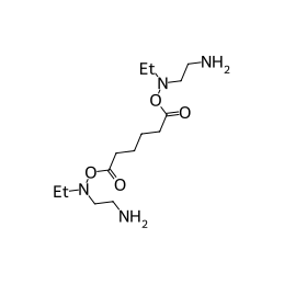 CCN(CCN)OC(=O)CCCCC(=O)ON(CC)CCN